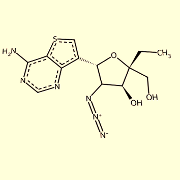 CC[C@]1(CO)O[C@@H](c2csc3c(N)ncnc23)C(N=[N+]=[N-])[C@@H]1O